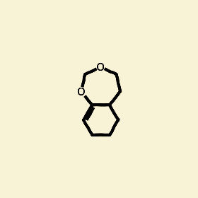 C1=C2OCOCCC2CCC1